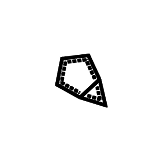 c1cc2cc-2c1